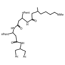 CCCCCC(CC(=O)NC(CCCCC)CC(=O)NC(CC(C)=O)CC(C)=O)NC(=O)CC(C)CCCCNC